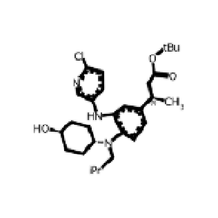 CC(C)CN(c1ccc([C@H](C)CC(=O)OC(C)(C)C)cc1Nc1ccc(Cl)nc1)[C@H]1CC[C@H](O)CC1